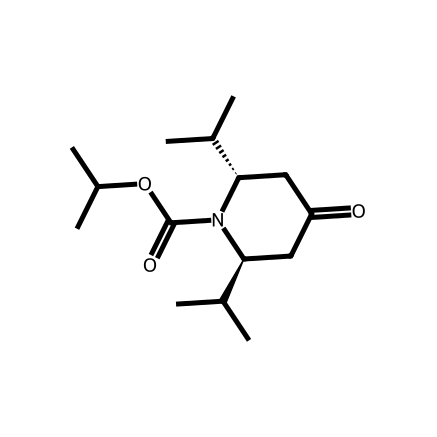 CC(C)OC(=O)N1[C@H](C(C)C)CC(=O)C[C@H]1C(C)C